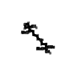 COC(CCCCOCC[Si](C)(OC)OC)C1(C)COC1